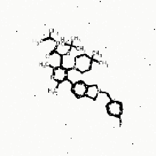 Cc1nc(C)c([C@H](OC(C)(C)C)C(=O)OC(C)C)c(N2CCC(C)(C)CC2)c1-c1ccc2c(c1)CN(Cc1ccc(F)cc1)C2